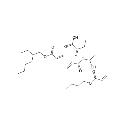 C=C(CC)C(=O)O.C=CC(=O)OC(C)O.C=CC(=O)OCC(CC)CCCC.C=CC(=O)OCCCC